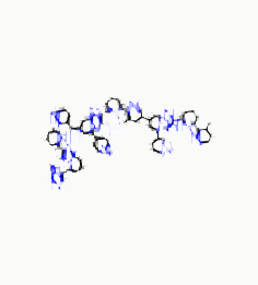 Cc1cccnc1[C@@H]1CCC[C@H](c2cn3c(-c4cccnc4)cc(-c4cnc([C@@H]5CCC[C@H](c6cn7c(-c8ccncc8)cc(Cc8cccnc8[C@@H]8CCC[C@H](c9cn%10c(-c%11cncn%11C)cccc%10n9)N8)cc7n6)N5)c(C)c4)cc3n2)N1